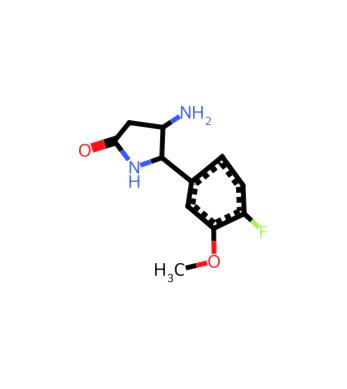 COc1cc(C2NC(=O)CC2N)ccc1F